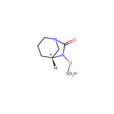 O=C1N2CCC[C@H](C2)N1OS(=O)(=O)O